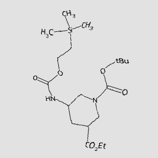 CCOC(=O)C1CC(NC(=O)OCC[Si](C)(C)C)CN(C(=O)OC(C)(C)C)C1